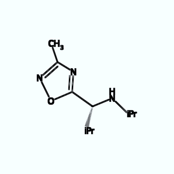 Cc1noc([C@H](NC(C)C)C(C)C)n1